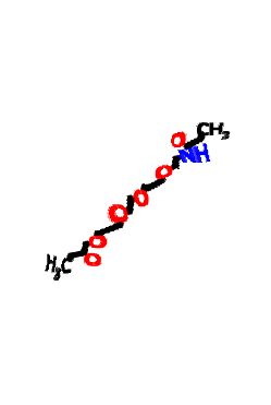 CCC(=O)COCCOCCOCCOCCNC(=O)CC